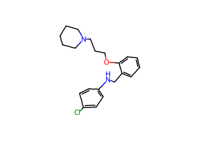 Clc1ccc(NCc2ccccc2OCCCN2CCCCC2)cc1